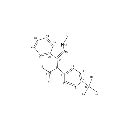 CN(C)C(c1ccc(C(C)(C)C)cc1)c1cn(C)c2ccccc12